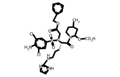 CC1CCN(C(=O)[C@H](CCCNc2ncc[nH]2)N(CC(=O)OCc2ccccc2)S(=O)(=O)c2cc(Cl)c(N)c(Cl)c2)C(OC(=O)O)C1